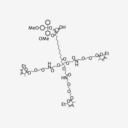 CCC1O[C@H](OCCOCCOCCNC(=O)CCOCC(COCCC(=O)NCCOCCOCCO[C@H]2OC(CC)[C@@H](C)[C@H](C)C2C)(COCCC(=O)NCCOCCOCCO[C@H]2OC(CC)[C@@H](C)[C@H](C)C2C)CC(=O)CCCCCCCCCCC(=O)N2C[C@H](O)C[C@H]2COC(c2ccccc2)(c2ccc(OC)cc2)c2ccc(OC)cc2)C(C)[C@@H](C)[C@@H]1C